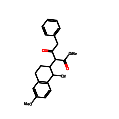 COC(=O)C(C(=O)Cc1ccccc1)C1CCc2cc(OC)ccc2C1C#N